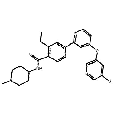 CCc1cc(-c2cc(Oc3cncc(Cl)c3)ccn2)ccc1C(=O)NC1CCN(C)CC1